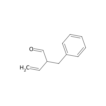 C=CC(C=O)Cc1ccccc1